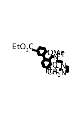 CCOC(=O)Cc1ccc(OC)c(-c2ccc(C)cc2CN(CC)C(=O)Cn2ccnc2C)c1